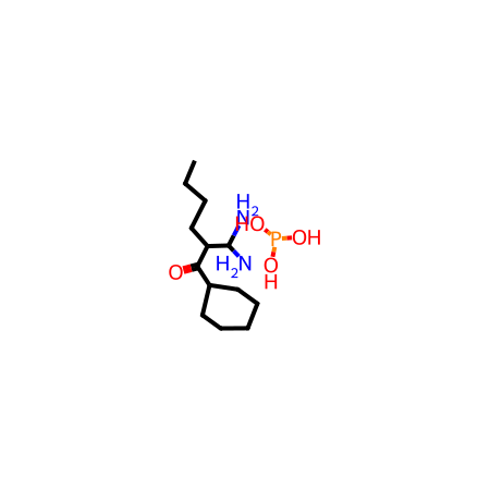 CCCCC(C(=O)C1CCCCC1)C(N)N.OP(O)O